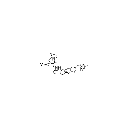 COc1cc(N)nc(C)c1CNC(=O)c1ccc2c(c1)c1oc2c2ccc(Cn3cc(C)cn3)cc21